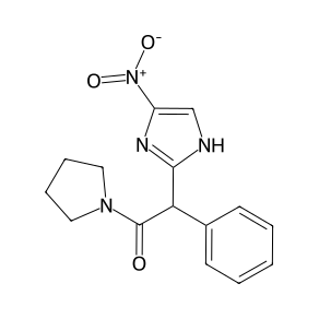 O=C(C(c1ccccc1)c1nc([N+](=O)[O-])c[nH]1)N1CCCC1